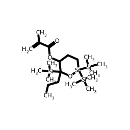 C=C(C)C(=O)OC1CC[Si]([Si](C)(C)C)([Si](C)(C)C)OC1(CCC)[Si](C)(C)C